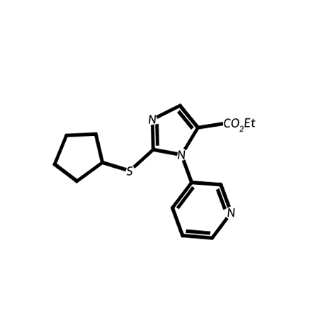 CCOC(=O)c1cnc(SC2CCCC2)n1-c1cccnc1